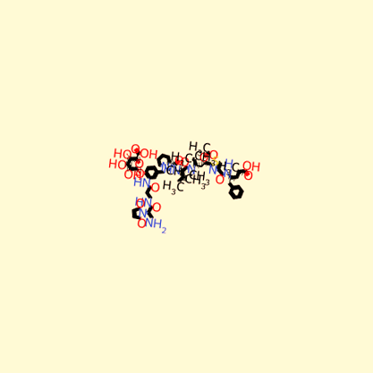 CC[C@H](C)[C@H](NC(=O)[C@H]1CCCC[N+]1(C)Cc1ccc(O[C@@H]2O[C@H](C(=O)O)[C@@H](O)[C@H](O)[C@H]2O)c(NC(=O)CCNC(=O)C(CN)N2C(=O)C=CC2=O)c1)C(=O)N(C)[C@H](C[C@@H](OC(C)=O)c1nc(C(=O)N[C@@H](Cc2ccccc2)C[C@H](C)C(=O)O)cs1)C(C)C